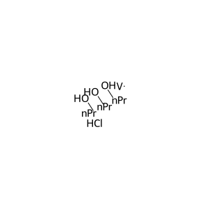 CCCO.CCCO.CCCO.Cl.[V]